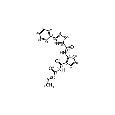 CCOC(=O)NC(=O)c1ccsc1NC(=O)c1nc(-c2ccccc2)cs1